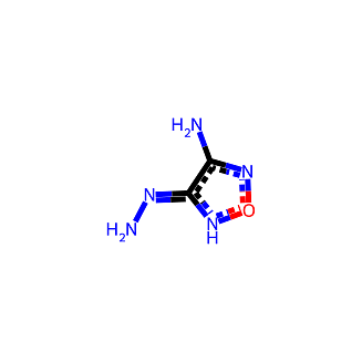 NN=c1[nH]onc1N